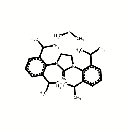 CC(C)c1cccc(C(C)C)c1N1CCN(c2c(C(C)C)cccc2C(C)C)[C]1=[Au].CSC